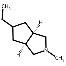 CCC1C[C@@H]2CN(C)C[C@@H]2C1